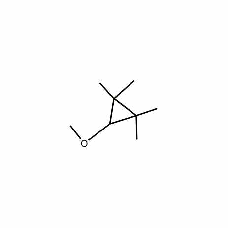 COC1C(C)(C)C1(C)C